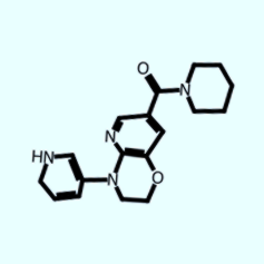 O=C(c1cnc2c(c1)OCCN2C1=CNCC=C1)N1CCCCC1